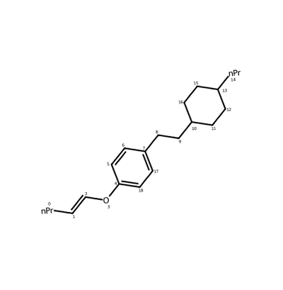 CCCC=COc1ccc(CCC2CCC(CCC)CC2)cc1